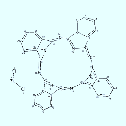 [Cl][Ti][Cl].c1ccc2c(c1)-c1nc-2nc2[n-]c(nc3nc(nc4[n-]c(n1)c1ccccc41)-c1ccccc1-3)c1ccccc21